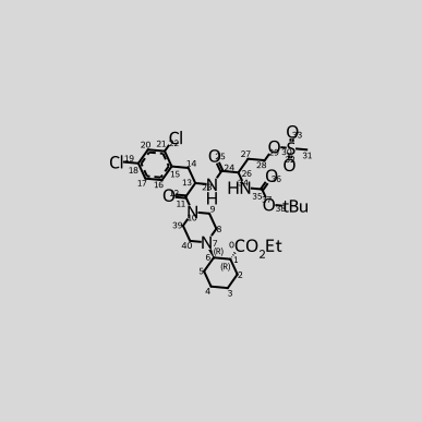 CCOC(=O)[C@@H]1CCCC[C@H]1N1CCN(C(=O)C(Cc2ccc(Cl)cc2Cl)NC(=O)C(CCOS(C)(=O)=O)NC(=O)OC(C)(C)C)CC1